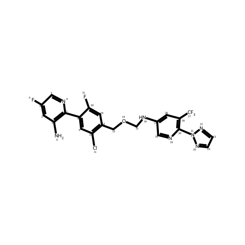 Nc1cc(F)cnc1-c1cc(Cl)c(COCNc2cnc(-n3nccn3)c(C(F)(F)F)c2)cc1F